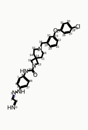 N=C/C=N\Nc1ccc(NC(=O)N2CC3(CCN(Cc4cccc(Oc5ccc(Cl)cc5)c4)CC3)C2)cc1